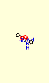 O=C(NC1CNc2ccccc2NC1=O)OCc1ccccc1